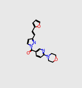 O=C(c1ccc(N2CCOCC2)nc1)n1ccc(/C=C/c2ccco2)n1